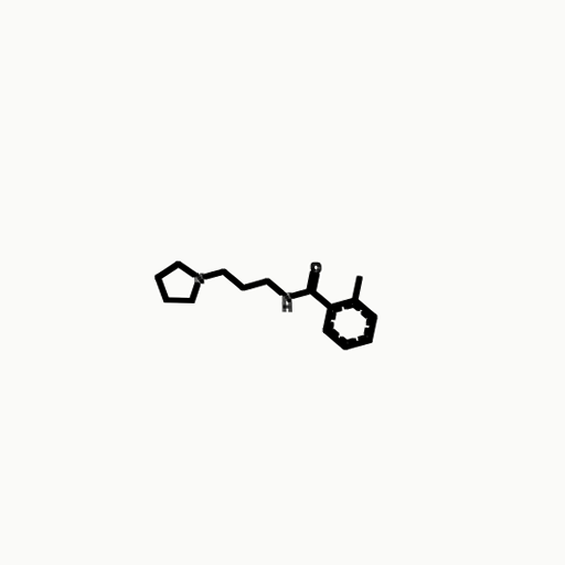 Cc1ccccc1C(=O)NCCCN1CCCC1